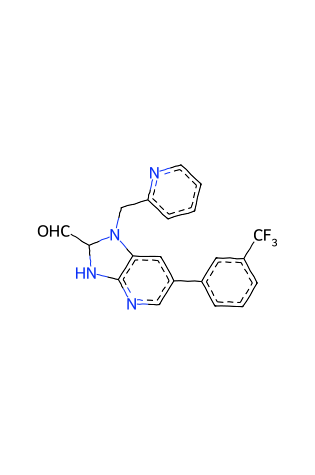 O=CC1Nc2ncc(-c3cccc(C(F)(F)F)c3)cc2N1Cc1ccccn1